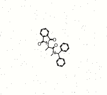 CC(C(=O)N(C)C(c1ccccc1)c1ccccc1)N1C(=O)c2ccccc2C1=O